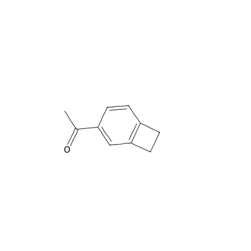 CC(=O)c1ccc2c(c1)CC2